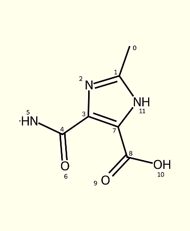 Cc1nc(C([NH])=O)c(C(=O)O)[nH]1